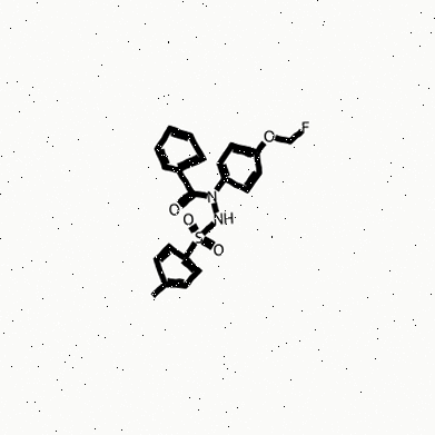 Cc1ccc(S(=O)(=O)NN(C(=O)c2ccccc2)c2ccc(OCF)cc2)cc1